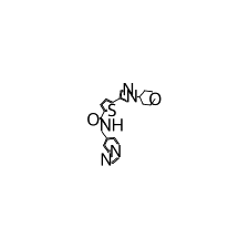 O=C(NCc1ccn2ccnc2c1)c1ccc(-c2cnn(C3CCOCC3)c2)s1